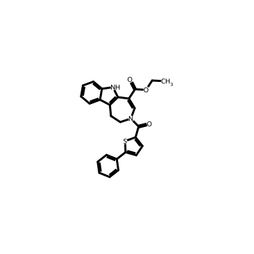 CCOC(=O)C1=CN(C(=O)c2ccc(-c3ccccc3)s2)CCc2c1[nH]c1ccccc21